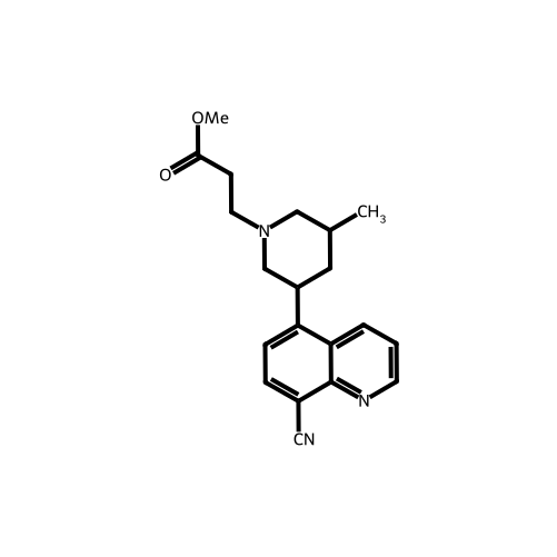 COC(=O)CCN1CC(C)CC(c2ccc(C#N)c3ncccc23)C1